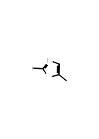 Cc1cnc(I)o1